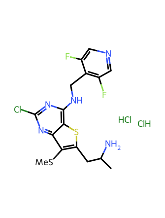 CSc1c(CC(C)N)sc2c(NCc3c(F)cncc3F)nc(Cl)nc12.Cl.Cl